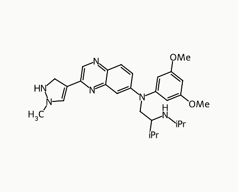 COc1cc(OC)cc(N(CC(NC(C)C)C(C)C)c2ccc3ncc(C4=CN(C)NC4)nc3c2)c1